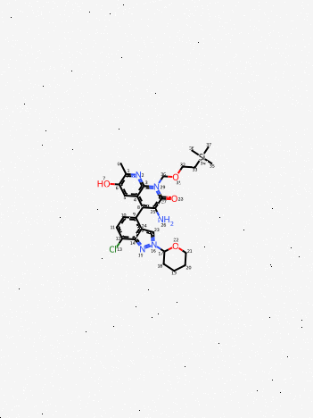 Cc1nc2c(cc1O)c(-c1ccc(Cl)c3nn(C4CCCCO4)cc13)c(N)c(=O)n2COCC[Si](C)(C)C